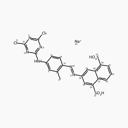 Cc1cc(Nc2nc(Cl)nc(Cl)n2)ccc1N=Nc1cc(S(=O)(=O)O)c2cccc(S(=O)(=O)O)c2c1.[Na+]